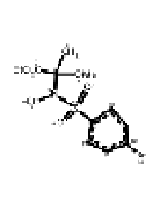 CCOC(=O)C(C)(OC)N(C)S(=O)(=O)c1ccc(Br)cc1